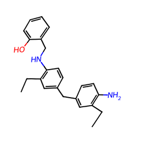 CCc1cc(Cc2ccc(NCc3ccccc3O)c(CC)c2)ccc1N